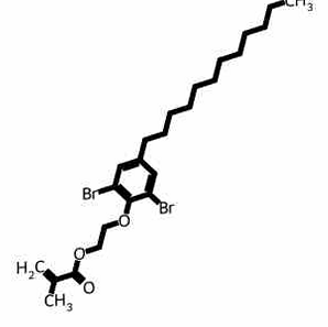 C=C(C)C(=O)OCCOc1c(Br)cc(CCCCCCCCCCCC)cc1Br